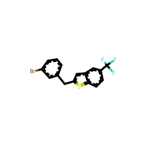 FC(F)(F)c1ccc2sc(Cc3cccc(Br)c3)cc2c1